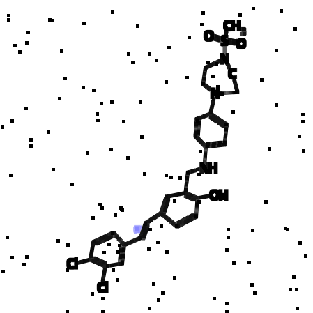 CS(=O)(=O)N1CCN(c2ccc(NCc3cc(/C=C/c4ccc(Cl)c(Cl)c4)ccc3O)cc2)CC1